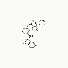 CCc1cc2nccc(Nc3n[nH]c4ccc(F)cc34)c2cc1S(=O)(=O)C1(C)CCOCC1